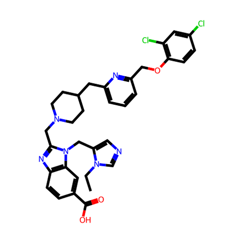 CCn1cncc1Cn1c(CN2CCC(Cc3cccc(COc4ccc(Cl)cc4Cl)n3)CC2)nc2ccc(C(=O)O)cc21